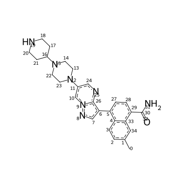 Cc1ccc2c(-c3cnn4cc(N5CCN(C6CCNCC6)CC5)cnc34)ccc(C(N)=O)c2c1